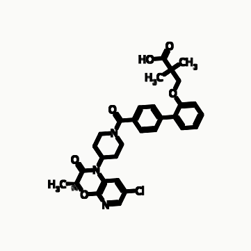 C[C@@H]1Oc2ncc(Cl)cc2N(C2CCN(C(=O)c3ccc(-c4ccccc4OCC(C)(C)C(=O)O)cc3)CC2)C1=O